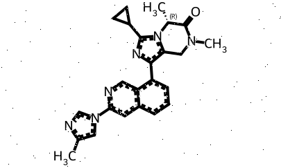 Cc1cn(-c2cc3cccc(-c4nc(C5CC5)n5c4CN(C)C(=O)[C@H]5C)c3cn2)cn1